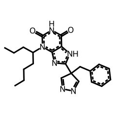 CCCCC(CCC)n1c(=O)[nH]c(=O)c2[nH]c(C3(Cc4ccccc4)C=NN=C3)nc21